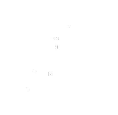 O=C(CBr)NCCc1n[nH]c(=O)c2c1CCCC2